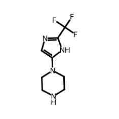 FC(F)(F)c1ncc(N2CCNCC2)[nH]1